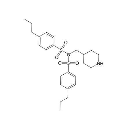 CCCc1ccc(S(=O)(=O)N(CC2CCNCC2)S(=O)(=O)c2ccc(CCC)cc2)cc1